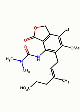 CCc1c2c(c(NC(=O)N(C)C)c(C/C=C(\C)CCC(=O)O)c1OC)C(=O)OC2